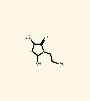 CCCN1C(=O)C(S)CC1O